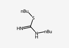 CCCCNC(=N)SCCCC